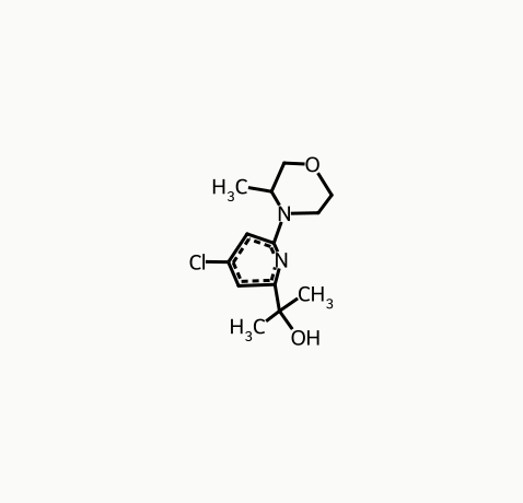 CC1COCCN1c1cc(Cl)cc(C(C)(C)O)n1